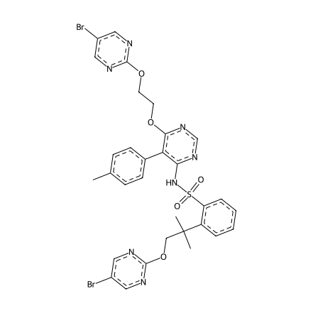 Cc1ccc(-c2c(NS(=O)(=O)c3ccccc3C(C)(C)COc3ncc(Br)cn3)ncnc2OCCOc2ncc(Br)cn2)cc1